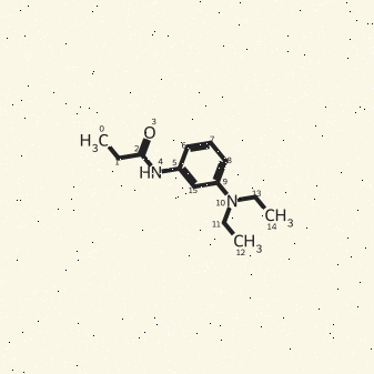 CCC(=O)Nc1cccc(N(CC)CC)c1